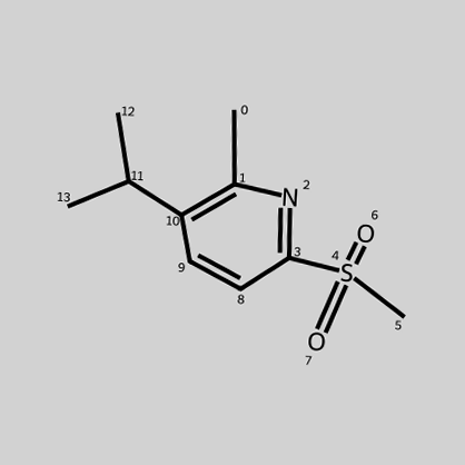 Cc1nc(S(C)(=O)=O)ccc1C(C)C